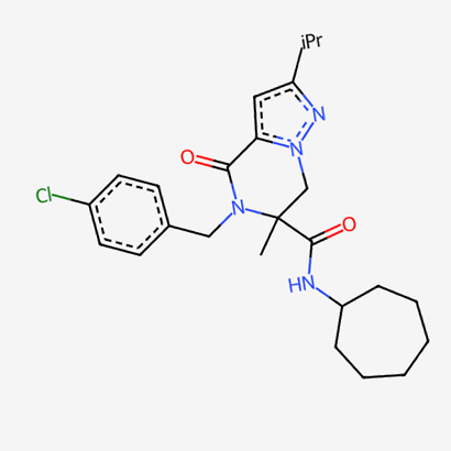 CC(C)c1cc2n(n1)CC(C)(C(=O)NC1CCCCCC1)N(Cc1ccc(Cl)cc1)C2=O